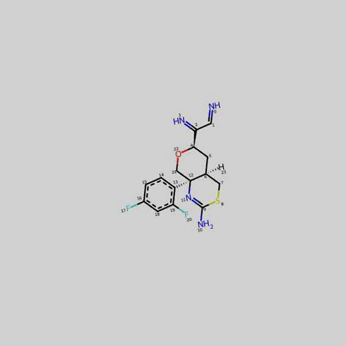 N=CC(=N)[C@H]1C[C@H]2CSC(N)=N[C@@]2(c2ccc(F)cc2F)CO1